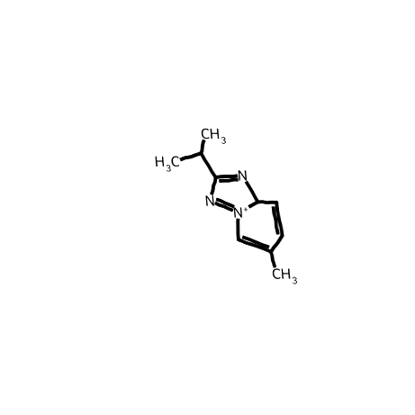 CC1=C[N+]2=NC(C(C)C)=NC2C=C1